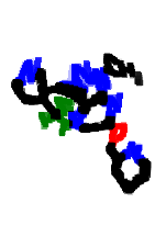 Cn1nc(-c2cnccc2C(F)(F)F)c2ncc(OCc3ccccn3)nc21